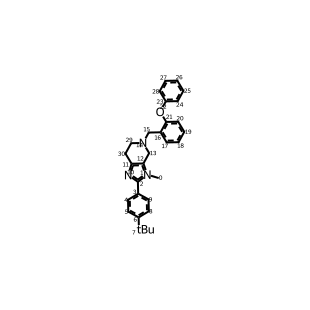 Cn1c(-c2ccc(C(C)(C)C)cc2)nc2c1CN(Cc1ccccc1Oc1ccccc1)CC2